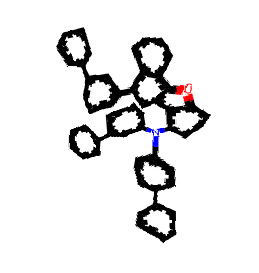 c1ccc(-c2ccc(N(c3cccc(-c4ccccc4)c3)c3cccc4oc5c6ccccc6c(-c6cccc(-c7ccccc7)c6)cc5c34)cc2)cc1